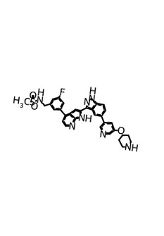 CS(=O)(=O)NCc1cc(F)cc(-c2ccnc3[nH]c(-c4n[nH]c5ccc(-c6cncc(OC7CCNCC7)c6)cc45)cc23)c1